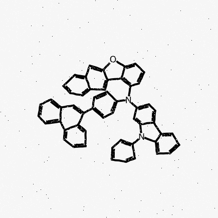 c1ccc(-n2c3ccccc3c3ccc(N(c4ccc(-c5cc6ccccc6c6ccccc56)cc4)c4cccc5oc6cc7ccccc7cc6c45)cc32)cc1